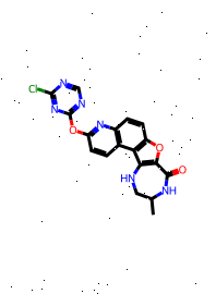 CC1CNc2c(oc3ccc4nc(Oc5ncnc(Cl)n5)ccc4c23)C(=O)N1